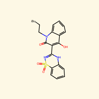 CCC(C)CCn1c(=O)c(C2=NS(=O)(=O)c3ccccc3N2)c(O)c2ccccc21